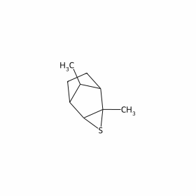 CC1C2CCC1C1(C)SC21